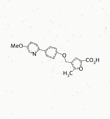 COc1ccc(-c2ccc(OCc3cc(C(=O)O)oc3C)cc2)nc1